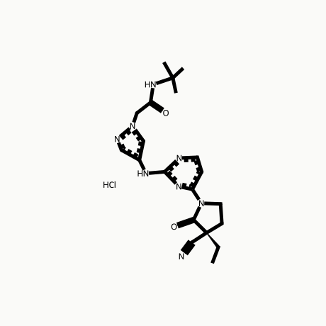 CC[C@]1(C#N)CCN(c2ccnc(Nc3cnn(CC(=O)NC(C)(C)C)c3)n2)C1=O.Cl